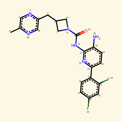 Cc1cnc(CC2CN(C(=O)Nc3nc(-c4ccc(F)cc4F)ccc3N)C2)cn1